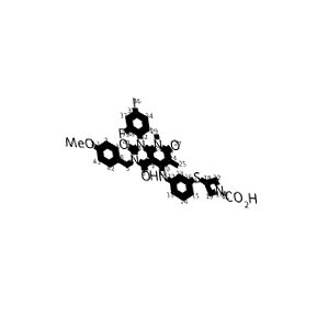 COc1ccc(Cn2c(=O)c3c(Nc4cccc(SC5CN(C(=O)O)C5)c4)c(C)c(=O)n(C)c3n(-c3ccc(I)cc3F)c2=O)cc1